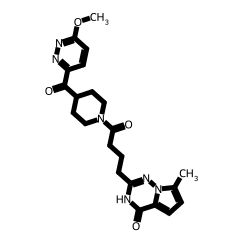 COc1ccc(C(=O)C2CCN(C(=O)CCCc3nn4c(C)ccc4c(=O)[nH]3)CC2)nn1